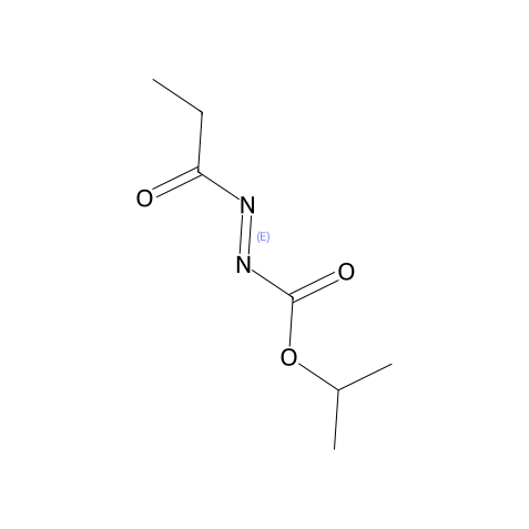 CCC(=O)/N=N/C(=O)OC(C)C